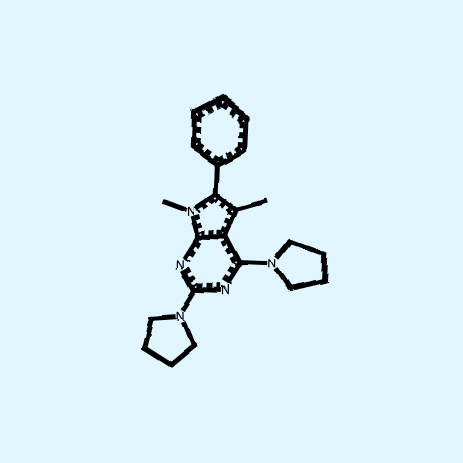 Cc1c(-c2ccccc2)n(C)c2nc(N3CCCC3)nc(N3CCCC3)c12